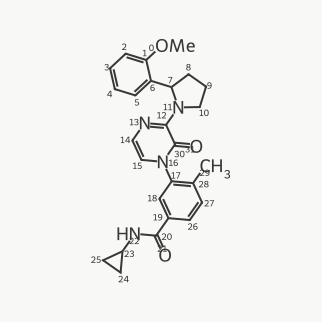 COc1ccccc1C1CCCN1c1nccn(-c2cc(C(=O)NC3CC3)ccc2C)c1=O